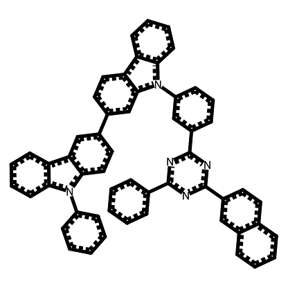 c1ccc(-c2nc(-c3cccc(-n4c5ccccc5c5ccc(-c6ccc7c(c6)c6ccccc6n7-c6ccccc6)cc54)c3)nc(-c3ccc4ccccc4c3)n2)cc1